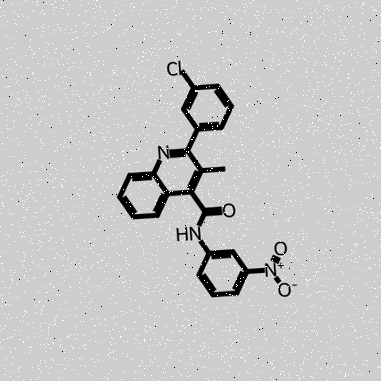 Cc1c(-c2cccc(Cl)c2)nc2ccccc2c1C(=O)Nc1cccc([N+](=O)[O-])c1